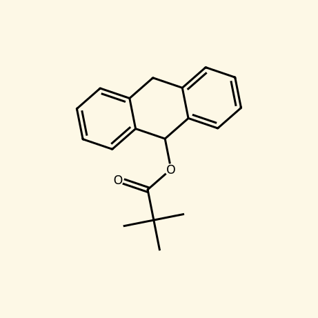 CC(C)(C)C(=O)OC1c2ccccc2Cc2ccccc21